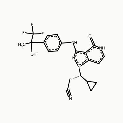 CC(O)(c1ccc(Nc2nn([C@@H](CC#N)C3CC3)c3cc[nH]c(=O)c23)cc1)C(F)(F)F